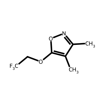 Cc1noc(OCC(F)(F)F)c1C